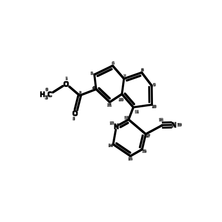 COC(=O)c1ccc2cccc(-c3ncccc3C#N)c2c1